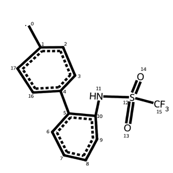 [CH2]c1ccc(-c2ccccc2NS(=O)(=O)C(F)(F)F)cc1